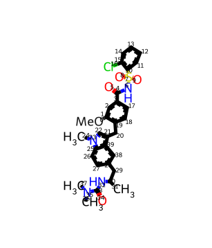 COc1cc(C(=O)NS(=O)(=O)c2ccccc2Cl)ccc1Cc1cn(C)c2ccc(CC(C)NC(=O)N(C)C)cc12